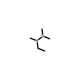 [CH2]CN(C)N(C)C